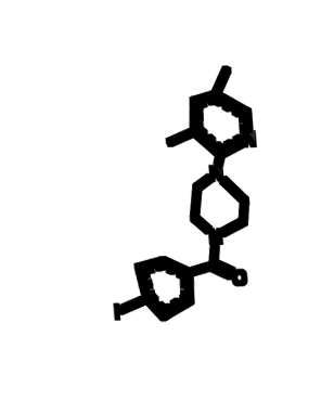 Cc1cnc(N2CCN(C(=O)c3ccc(I)cc3)CC2)c(C)c1